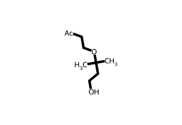 CC(=O)CCOC(C)(C)CCO